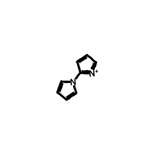 C1=CC(n2cccc2)=[N+]=C1